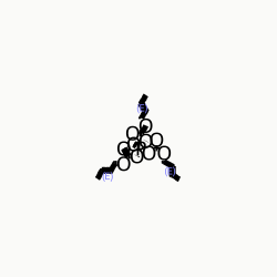 C/C=C/COC(=O)OP(=O)(OC(=O)OC/C=C/C)OC(=O)OC/C=C/C